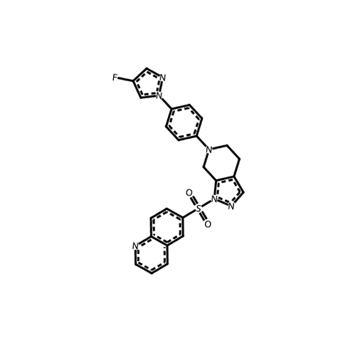 O=S(=O)(c1ccc2ncccc2c1)n1ncc2c1CN(c1ccc(-n3cc(F)cn3)cc1)CC2